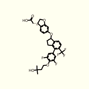 CC(C)(O)CCOc1c(F)cc(-c2c(C(F)(F)F)ccc3c2CCC3Oc2ccc3c(c2)OC[C@H]3CC(=O)O)cc1F